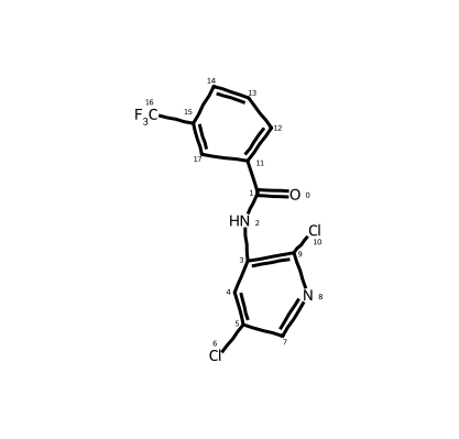 O=C(Nc1cc(Cl)cnc1Cl)c1cccc(C(F)(F)F)c1